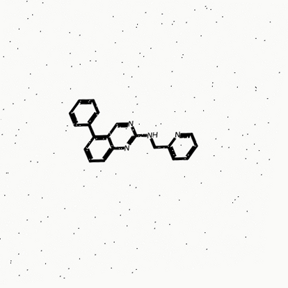 c1ccc(-c2cccc3nc(NCc4ccccn4)ncc23)cc1